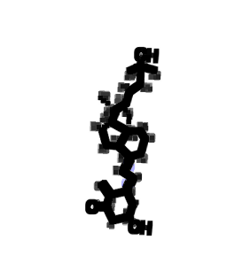 C=C1C(=O)C[C@H](O)C/C1=C/C=C1\CCC[C@@]2(C)C1CC[C@@H]2[C@H](C)CCCC(C)(C)O